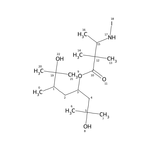 CC(CC(CC(C)(C)O)OC(=O)C(C)(C)C(C)NI)C(C)(C)O